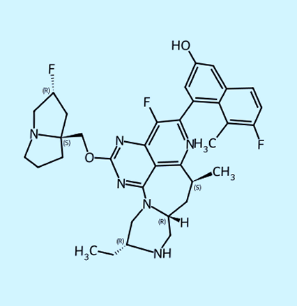 CC[C@@H]1CN2c3nc(OC[C@@]45CCCN4C[C@H](F)C5)nc4c(F)c(-c5cc(O)cc6ccc(F)c(C)c56)nc(c34)[C@@H](C)C[C@@H]2CN1